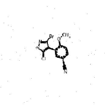 COc1ccc(C#N)cc1C1=C(Cl)[N]N=C1Br